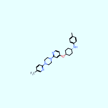 Cc1ccc(N[C@H]2CC[C@H](Oc3ccnc(N4CCN(c5ccc(C(F)(F)F)cn5)CC4)c3)CC2)cc1